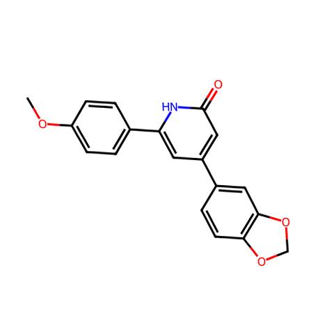 COc1ccc(-c2cc(-c3ccc4c(c3)OCO4)cc(=O)[nH]2)cc1